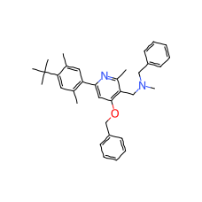 Cc1cc(C(C)(C)C)c(C)cc1-c1cc(OCc2ccccc2)c(CN(C)Cc2ccccc2)c(C)n1